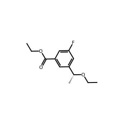 CCOC(=O)c1cc(F)cc([C@@H](C)OCC)c1